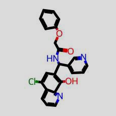 O=C(COc1ccccc1)NC(c1cccnc1)c1cc(Cl)c2cccnc2c1O